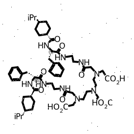 CC(C)[C@H]1CC[C@H](C(=O)N[C@@H](Cc2ccccc2)C(=O)NCCNC(=O)CN(CCN(CCN(CC(=O)O)CC(=O)NCCNC(=O)[C@@H](Cc2ccccc2)NC(=O)[C@H]2CC[C@H](C(C)C)CC2)CC(=O)O)CC(=O)O)CC1